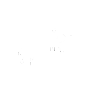 COc1cc(F)cc(C(=O)NC[C@H]2CC[C@@H](NCC(=O)N(C)C(C)(C)C)CC2)c1